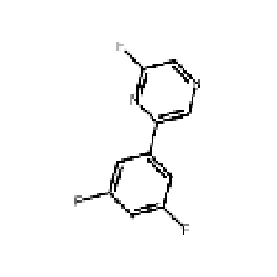 Fc1[c]c(F)cc(-c2cncc(F)n2)c1